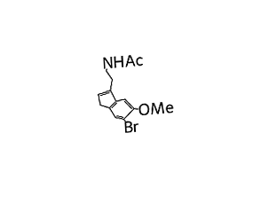 COc1cc2c(cc1Br)CC=C2CCNC(C)=O